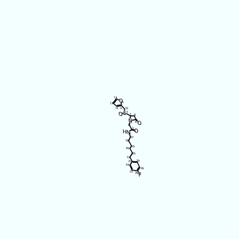 O=C(CN1C(=O)CC1[S+]([O-])Cc1ccco1)NCCCCCCc1ccc(F)cc1